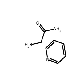 NCC(N)=O.c1ccncc1